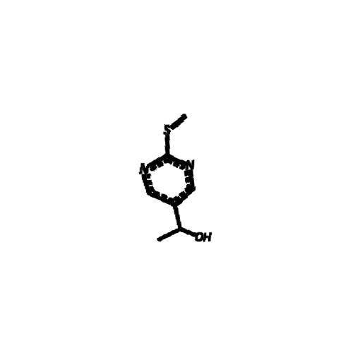 CSc1ncc(C(C)O)cn1